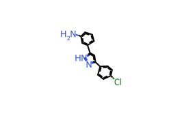 Nc1cccc(-c2cc(-c3ccc(Cl)cc3)n[nH]2)c1